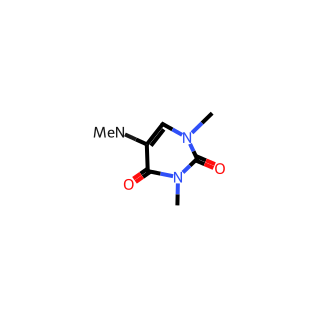 CNc1cn(C)c(=O)n(C)c1=O